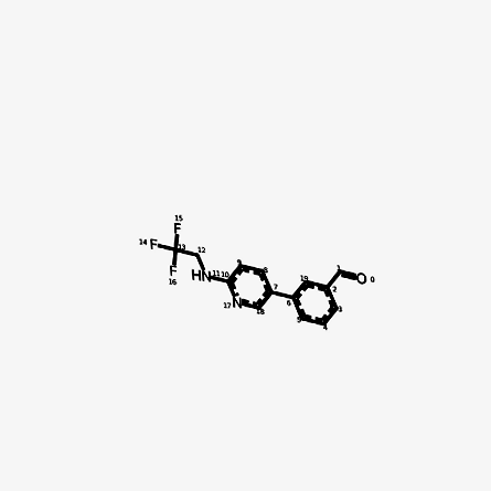 O=Cc1cccc(-c2ccc(NCC(F)(F)F)nc2)c1